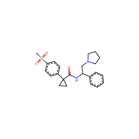 CS(=O)(=O)c1ccc(C2(C(=O)NC(CN3CCCC3)c3ccccc3)CC2)cc1